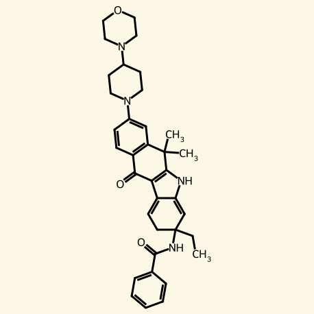 CCC1(NC(=O)c2ccccc2)C=c2[nH]c3c(c2=CC1)C(=O)c1ccc(N2CCC(N4CCOCC4)CC2)cc1C3(C)C